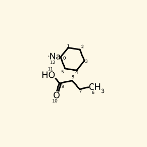 C1CCCCC1.CCCC(=O)O.[Na]